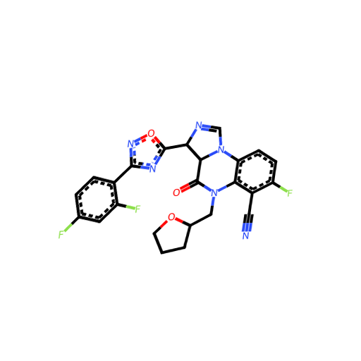 N#Cc1c(F)ccc2c1N(CC1CCCO1)C(=O)C1C(c3nc(-c4ccc(F)cc4F)no3)N=CN21